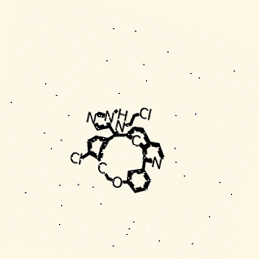 Cn1cncc1C1(NCCCl)c2ccc(Cl)c(c2)CCOc2cccc(c2)-c2nccc3ccc1cc23